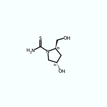 NC(=S)N1C[C@@H](O)C[C@@H]1CO